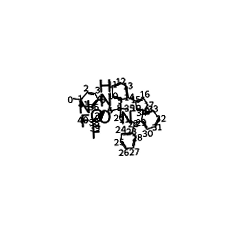 Cc1ccc(NC(=O)C2(c3ccccc3C3=CCCC3)CN(C(c3ccccc3)c3ccccc3)C2)c(OC(F)F)n1